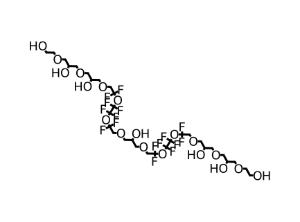 OCCOCC(O)COCC(O)COCC(F)(F)OC(F)(F)C(F)(F)OC(F)(F)COCC(O)COCC(F)(F)OC(F)(F)C(F)(F)OC(F)(F)COCC(O)COCC(O)COCCO